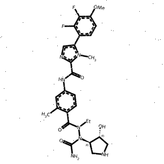 CCN(C(=O)c1ccc(NC(=O)c2ncc(-c3ccc(OC)c(F)c3F)n2C)cc1C)N(C(N)=O)[C@@H]1CNC[C@H]1O